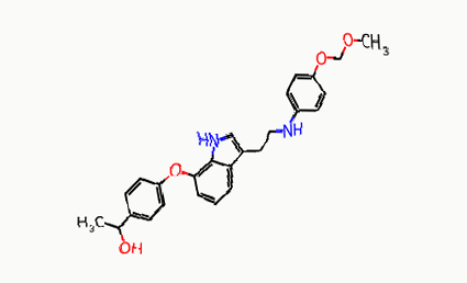 COCOc1ccc(NCCc2c[nH]c3c(Oc4ccc(C(C)O)cc4)cccc23)cc1